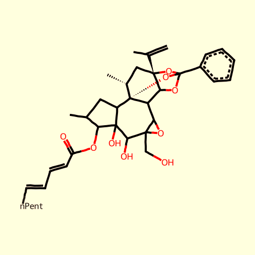 C=C(C)[C@]12C[C@@H](C)[C@@]34OC(c5ccccc5)(OC1C3C1OC1(CO)C(O)C1(O)C(OC(=O)/C=C/C=C/CCCCC)C(C)CC14)O2